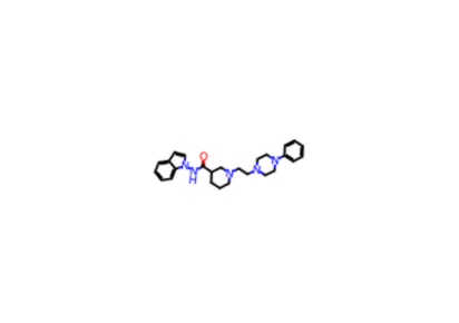 O=C(Nn1ccc2ccccc21)C1CCCN(CCN2CCN(c3ccccc3)CC2)C1